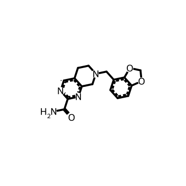 NC(=O)c1n[c]c2c(n1)CN(Cc1cccc3c1OCO3)CC2